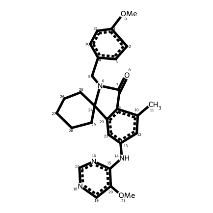 COc1ccc(CN2C(=O)c3c(C)cc(Nc4ncncc4OC)cc3C23CCCCC3)cc1